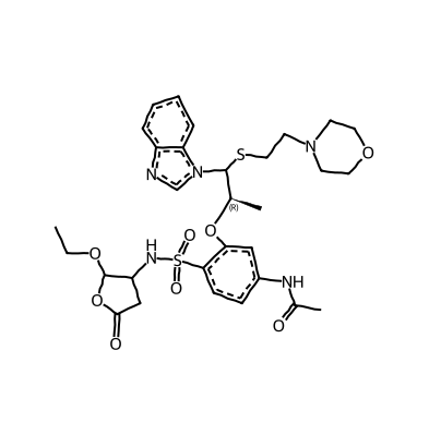 CCOC1OC(=O)CC1NS(=O)(=O)c1ccc(NC(C)=O)cc1O[C@H](C)C(SCCN1CCOCC1)n1cnc2ccccc21